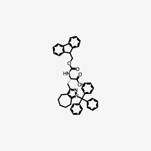 O=C(N[C@@H](Cc1nn(C(c2ccccc2)(c2ccccc2)c2ccccc2)c2c1CCCCC2)C(=O)O)OCC1c2ccccc2-c2ccccc21